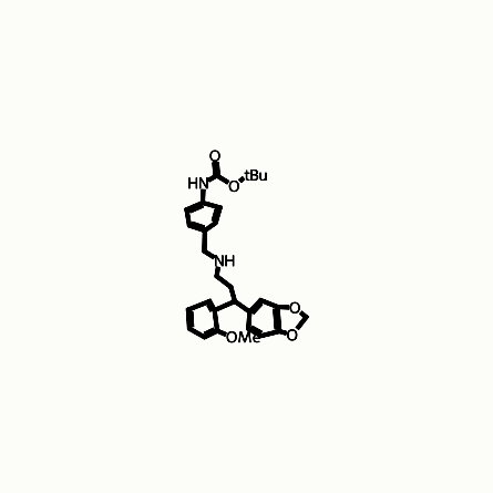 COc1ccccc1C(CCNCc1ccc(NC(=O)OC(C)(C)C)cc1)c1ccc2c(c1)OCO2